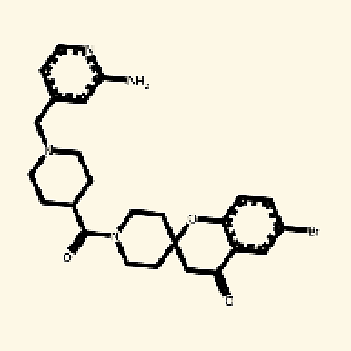 Nc1cc(CN2CCC(C(=O)N3CCC4(CC3)CC(=O)c3cc(Br)ccc3O4)CC2)ccn1